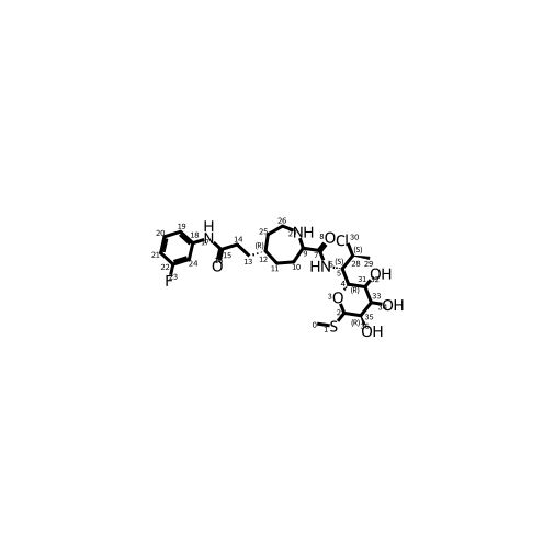 CSC1O[C@H]([C@H](NC(=O)C2CC[C@H](CCC(=O)Nc3cccc(F)c3)CCN2)[C@H](C)Cl)C(O)C(O)[C@H]1O